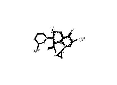 C=C(C)c1c(N2CCCC(N)C2)c(F)cc2c(=O)c(C(=O)O)cn(C3CC3)c12